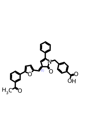 CC(=O)c1cccc(-c2ccc(/C=C3\C=C(c4ccccc4)N(Cc4ccc(C(=O)O)cc4)C3=O)o2)c1